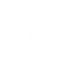 COC(=O)c1ccc(C(=O)[O-])n(OCc2ccccc2)c1=O.[Li+]